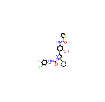 O=C(Nc1ccc(-c2cc(C3CCCC3)n(C(=O)NCc3ccc(Cl)c(Cl)c3)n2)c(O)c1)c1cccs1